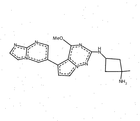 COc1nc(NC2CC(C)(N)C2)nn2ccc(-c3cnc4nccn4c3)c12